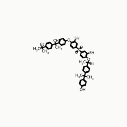 CCC(C)(C)c1ccc(C(C)(C)c2ccc(Oc3ccc(S(=O)(=O)c4ccc(OC(C)(CC)c5ccc(C(C)(C)c6ccc(O)cc6)cc5)c(S)c4)cc3S)cc2)cc1